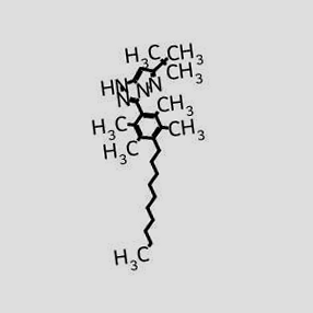 CCCCCCCCCCc1c(C)c(C)c(-c2n[nH]c3cc(C(C)(C)C)nn23)c(C)c1C